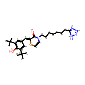 CC(C)(C)c1cc(/C=C2\SC=CN(CCCCCCCc3nnn[nH]3)C2=O)cc(C(C)(C)C)c1O